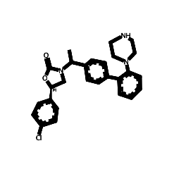 CC(c1ccc(-c2ccccc2N2CCNCC2)cc1)N1C[C@@H](c2ccc(Cl)cc2)OC1=O